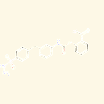 NNS(=O)(=O)c1ccc(Cc2cccc(NC(=O)Oc3ccccc3C(=O)Cl)c2)cc1